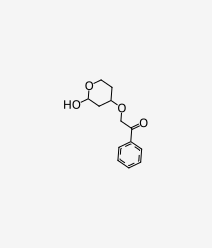 O=C(COC1CCOC(O)C1)c1ccccc1